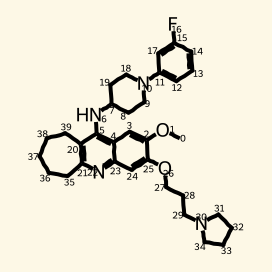 COc1cc2c(NC3CCN(c4cccc(F)c4)CC3)c3c(nc2cc1OCCCN1CCCC1)CCCCC3